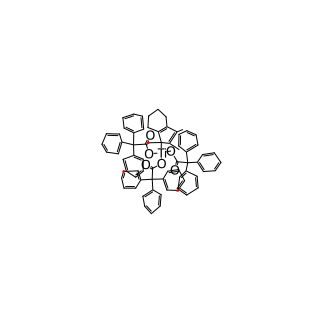 CC1=C(C)[C](C)([Ti]([O]C(=O)C(c2ccccc2)(c2ccccc2)c2ccccc2)([O]C(=O)C(c2ccccc2)(c2ccccc2)c2ccccc2)[O]C(=O)C(c2ccccc2)(c2ccccc2)c2ccccc2)C2=C1CCCC2